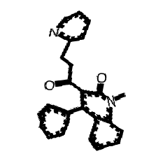 Cn1c(=O)c(C(=O)CCc2ccccn2)c(-c2ccccc2)c2ccccc21